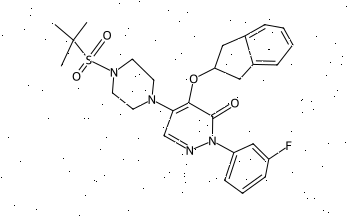 CC(C)(C)S(=O)(=O)N1CCN(c2cnn(-c3cccc(F)c3)c(=O)c2OC2Cc3ccccc3C2)CC1